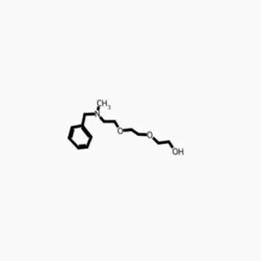 CN(CCOCCOCCO)Cc1ccccc1